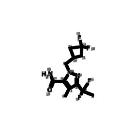 Cc1c(C(C)(F)F)nn(CC2CC(F)(F)C2)c1C(N)=O